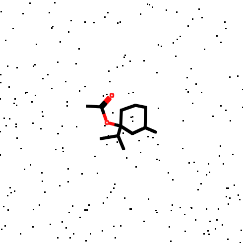 CC(=O)OC1(C(C)C)CCCC(C)C1